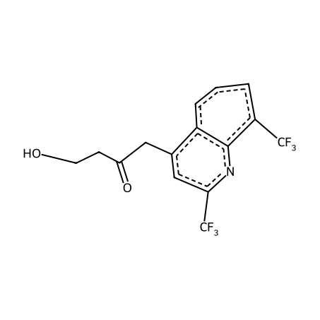 O=C(CCO)Cc1cc(C(F)(F)F)nc2c(C(F)(F)F)cccc12